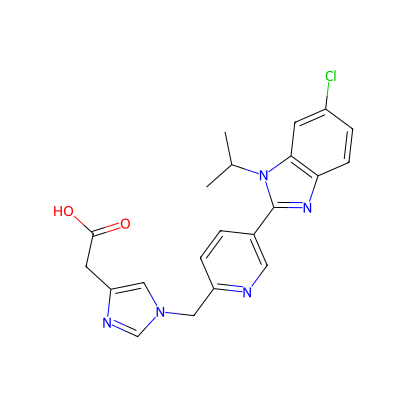 CC(C)n1c(-c2ccc(Cn3cnc(CC(=O)O)c3)nc2)nc2ccc(Cl)cc21